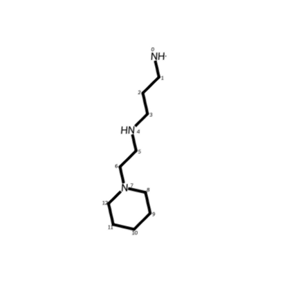 [NH]CCCNCCN1CCCCC1